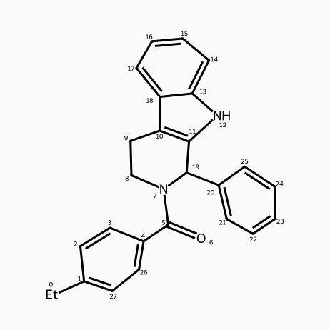 CCc1ccc(C(=O)N2CCc3c([nH]c4ccccc34)C2c2ccccc2)cc1